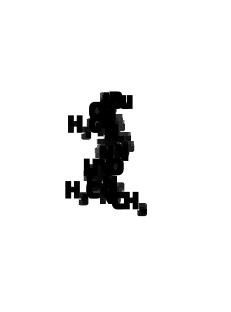 Cc1cn2cc(NC(=O)N3CCc4c(N5CCN(C(=O)OC(C)(C)C)[C@H](C)C5)ccnc43)c(F)c(C)c2n1